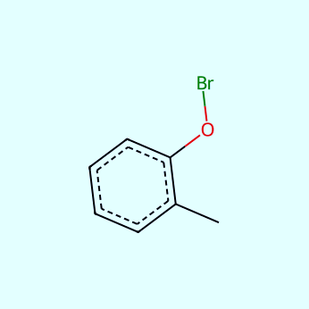 Cc1ccccc1OBr